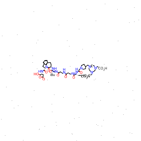 CC[C@H](C)[C@H](NC(=O)CCNC(=O)CCNC(=O)[C@@H](CCC(=O)O)NC(=O)CN1CCC(CN2CCN(CC(=O)O)CCN(CC(=O)O)CC2)CC1)C(=O)N[C@H]1CCc2cccc3c2N(C1=O)[C@H](C(=O)N[C@@H]1CC(=O)OC1O)C3